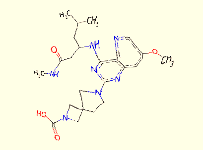 CNC(=O)CC(CC(C)C)Nc1nc(N2CCC3(CN(C(=O)O)C3)C2)nc2cc(OC)cnc12